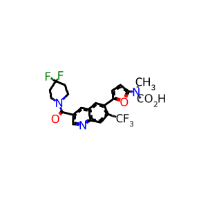 CN(C(=O)O)c1ccc(-c2cc3cc(C(=O)N4CCC(F)(F)CC4)cnc3cc2C(F)(F)F)o1